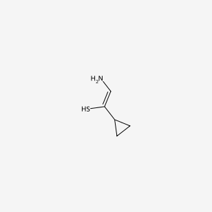 N/C=C(\S)C1CC1